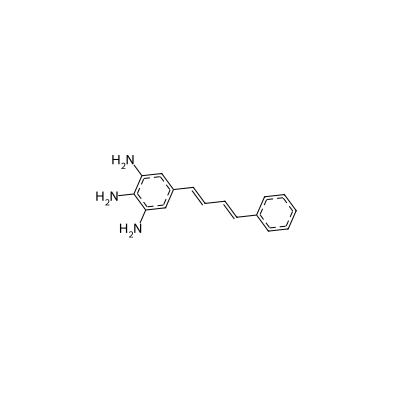 Nc1cc(/C=C/C=C/c2ccccc2)cc(N)c1N